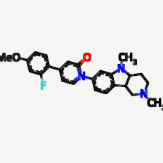 COc1ccc(-c2ccn(-c3ccc4c(c3)N(C)C3CCN(C)CC43)c(=O)c2)c(F)c1